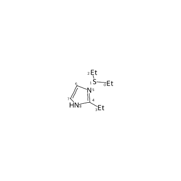 CCSCC.CCc1ncc[nH]1